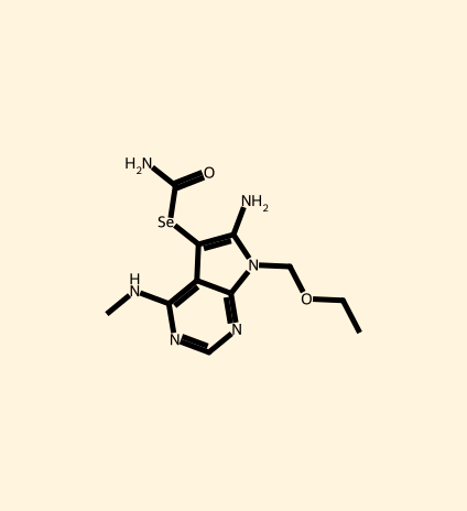 CCOCn1c(N)c([Se]C(N)=O)c2c(NC)ncnc21